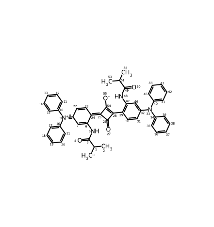 CC(C)C(=O)NC1=CC(=[N+](c2ccccc2)c2ccccc2)C=C/C1=C1/C(=O)C(c2ccc(N(c3ccccc3)c3ccccc3)cc2NC(=O)C(C)C)=C1[O-]